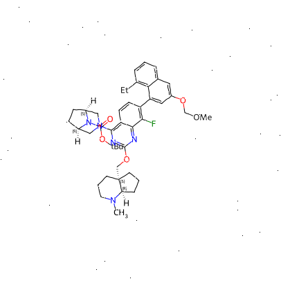 CCc1cccc2cc(OCOC)cc(-c3ccc4c(N5C[C@H]6CC[C@@H](C5)N6C(=O)OC(C)(C)C)nc(OC[C@]56CCC[C@H]5N(C)CCC6)nc4c3F)c12